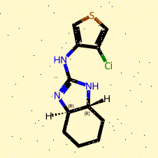 Clc1cscc1NC1=N[C@@H]2CCCC[C@H]2N1